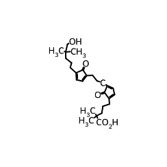 CC(C)(CO)CCCC1=CC=C(CCCC2=CC=C(CCCC(C)(C)C(=O)O)C2=O)C1=O